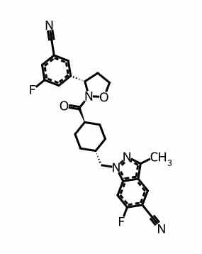 Cc1nn(C[C@H]2CC[C@H](C(=O)N3OCC[C@H]3c3cc(F)cc(C#N)c3)CC2)c2cc(F)c(C#N)cc12